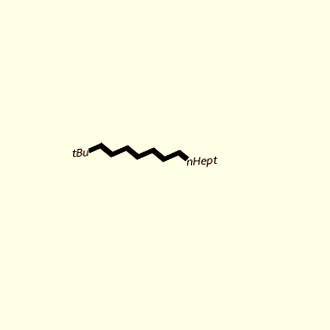 [CH2]C([CH2])([CH2])[CH]CCCCCCCCCCCCC